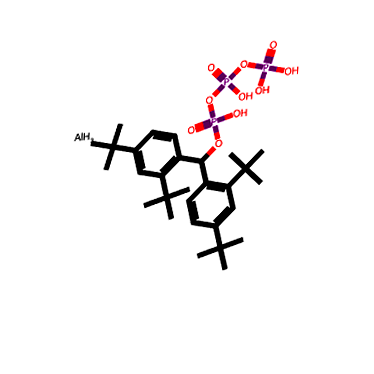 CC(C)(C)c1ccc(C(OP(=O)(O)OP(=O)(O)OP(=O)(O)O)c2ccc(C(C)(C)C)cc2C(C)(C)C)c(C(C)(C)C)c1.[AlH3]